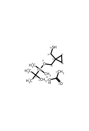 CC(=O)O.CC(C)(C)[Si](C)(C)OCC1(CS)CC1